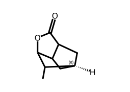 CC1C2OC(=O)C3C[C@H]1CC32